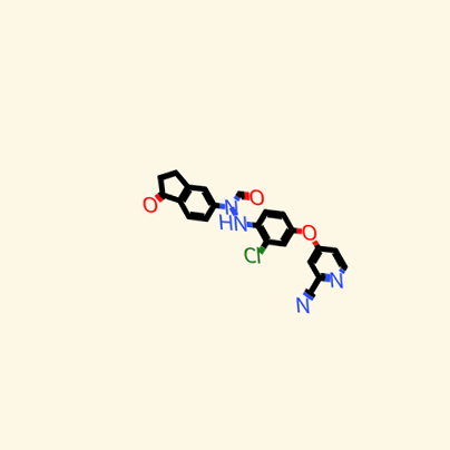 N#Cc1cc(Oc2ccc(NN(C=O)c3ccc4c(c3)CCC4=O)c(Cl)c2)ccn1